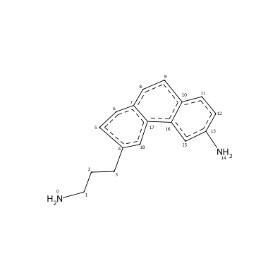 NCCCc1ccc2ccc3ccc(N)cc3c2c1